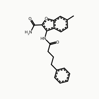 Cc1ccc2c(NC(=O)CCCc3ccccc3)c(C(N)=O)oc2c1